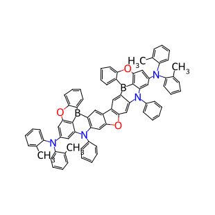 Cc1ccccc1N(c1cc2c3c(c1)N(c1ccccc1)c1cc4oc5cc6c(cc5c4cc1B3c1ccccc1O2)B1c2ccccc2Oc2cc(N(c3ccccc3C)c3ccccc3C)cc(c21)N6c1ccccc1)c1ccccc1C